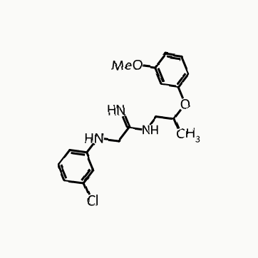 COc1cccc(OC(C)CNC(=N)CNc2cccc(Cl)c2)c1